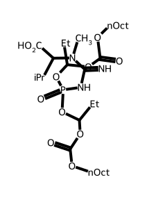 CCCCCCCCOC(=O)OC(CC)OP(=O)(NC(=N)N(C)C(C(=O)O)C(C)C)OC(CC)OC(=O)OCCCCCCCC